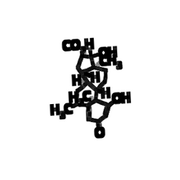 CC1C[C@@H]2[C@H](CC[C@@]3(C)[C@H]2CCC3(O)C(=O)O)[C@@]2(C)C(O)=CC(=O)C=C12